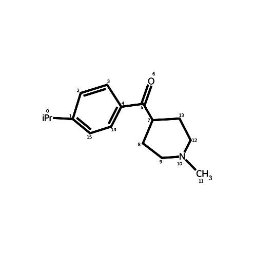 CC(C)c1ccc(C(=O)C2CCN(C)CC2)cc1